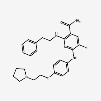 NC(=O)c1cc(F)c(Nc2ccc(OCCN3CCCC3)cc2)nc1NCCc1ccccc1